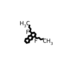 CCCCC(F)c1ccc(C(F)CCCC)c2cc3ccccc3cc12